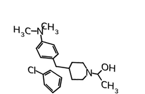 CC(O)N1CCC(Cc2ccc(N(C)C)cc2)CC1.Clc1ccccc1